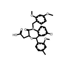 COc1ccc(CN2C(=O)C(CC(=O)O)OC(c3ccc(C)cc3OC)c3cc(Cl)ccc32)c(OC)c1